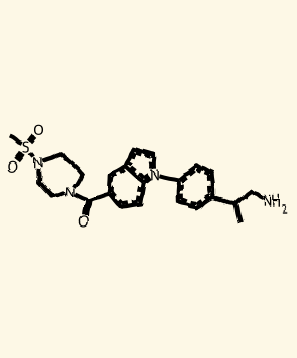 CC(CN)c1ccc(-n2ccc3cc(C(=O)N4CCN(S(C)(=O)=O)CC4)ccc32)cc1